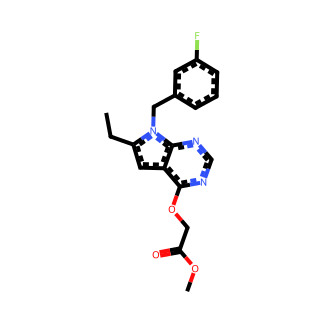 CCc1cc2c(OCC(=O)OC)ncnc2n1Cc1cccc(F)c1